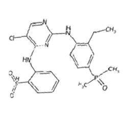 CCc1cc(P(C)(C)=O)ccc1Nc1ncc(Cl)c(Nc2ccccc2[SH](=O)=O)n1